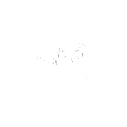 Cc1cc2c(cc1C#N)c(-c1cnc3c(c1)NC(C)(C)CC3)cn2[C@H]1CC[C@H](O)CC1